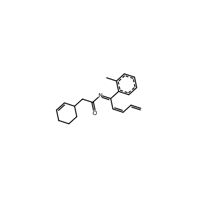 C=C/C=C\C(=N/C(=O)CC1C=CCCC1)c1ccccc1C